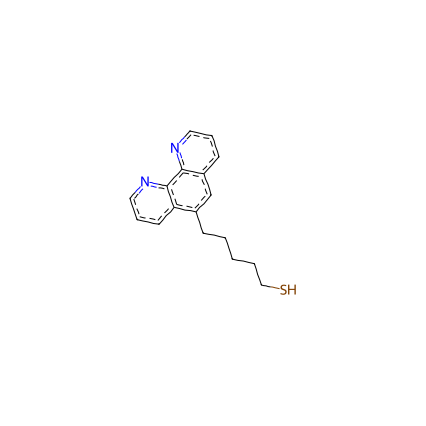 SCCCCCc1cc2cccnc2c2ncccc12